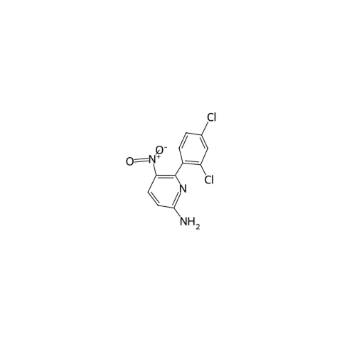 Nc1ccc([N+](=O)[O-])c(-c2ccc(Cl)cc2Cl)n1